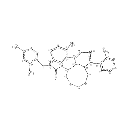 Cc1ccc(CNC(=O)OC2CCCCCC3C(c4ccccc4N)=NN=C(c4ccccc4N)C23)c(C)c1